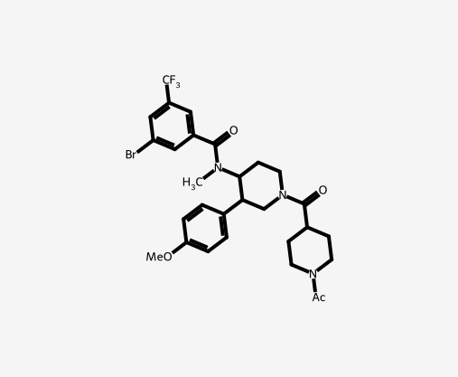 COc1ccc(C2CN(C(=O)C3CCN(C(C)=O)CC3)CCC2N(C)C(=O)c2cc(Br)cc(C(F)(F)F)c2)cc1